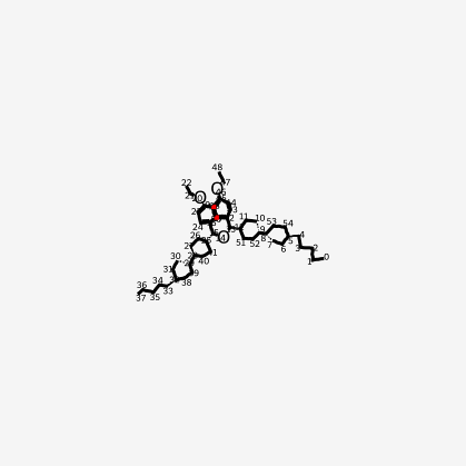 CCCCC[C@H]1CC[C@H]([C@H]2CC[C@H](C(OC(c3ccc(OCC)cc3)[C@H]3CC[C@H]([C@H]4CC[C@H](CCCCC)CC4)CC3)c3ccc(OCC)cc3)CC2)CC1